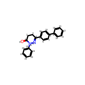 O=C1CCC(c2ccc(-c3ccccc3)cc2)=NN1c1ccccc1